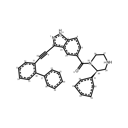 O=C(c1ccc2[nH]nc(C#Cc3ccccc3-c3ccccc3)c2c1)N1CCNC[C@H]1c1ccccc1